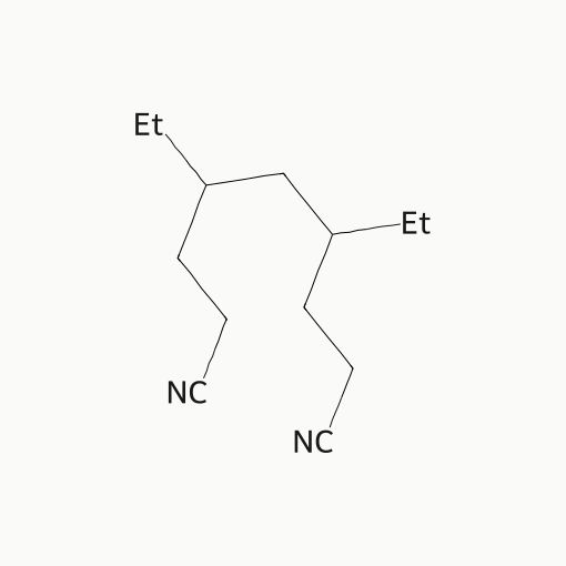 CCC(CCC#N)CC(CC)CCC#N